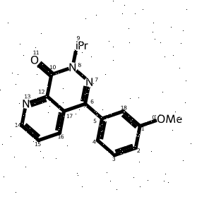 COc1cccc(-c2nn(C(C)C)c(=O)c3ncccc23)c1